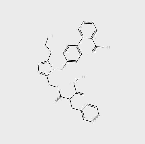 CCCc1nnc(CNC(=O)C(Cc2ccccc2)C(=O)NO)n1Cc1ccc(-c2ccccc2C(=O)O)cc1